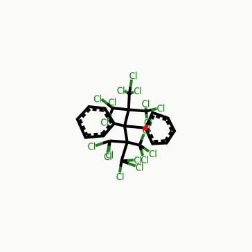 ClC(Cl)(Cl)C(C(Cl)(Cl)Cl)(C(Cl)(Cl)Cl)C(c1ccccc1)(c1ccccc1)C(C(Cl)(Cl)Cl)(C(Cl)(Cl)Cl)C(Cl)(Cl)Cl